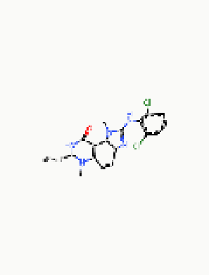 CCCCCC1NC(=O)C2=C(C=CC3N=C(Nc4c(Cl)cccc4Cl)N(C)C23)N1C